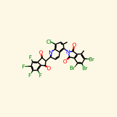 Cc1cc(Cl)c2nc(C3C(=O)c4c(F)c(F)c(F)c(F)c4C3=O)ccc2c1N1C(=O)c2c(C)c(Br)c(Br)c(Br)c2C1=O